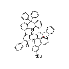 CC(C)(C)c1ccc(N2c3cc4sc5ccccc5c4cc3B3c4c(cc5c(oc6ccccc65)c42)-c2cccc4c2N3c2ccccc2C4(c2ccccc2)c2ccccc2)c(-c2ccccc2)c1